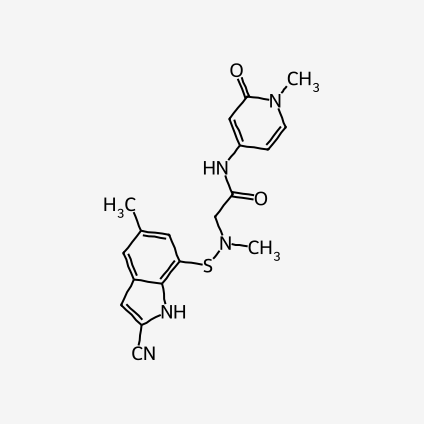 Cc1cc(SN(C)CC(=O)Nc2ccn(C)c(=O)c2)c2[nH]c(C#N)cc2c1